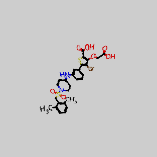 Cc1cccc(C)c1CS(=O)(=O)N1CCC(Nc2cccc(-c3sc(C(=O)O)c(OCC(=O)O)c3Br)c2)CC1